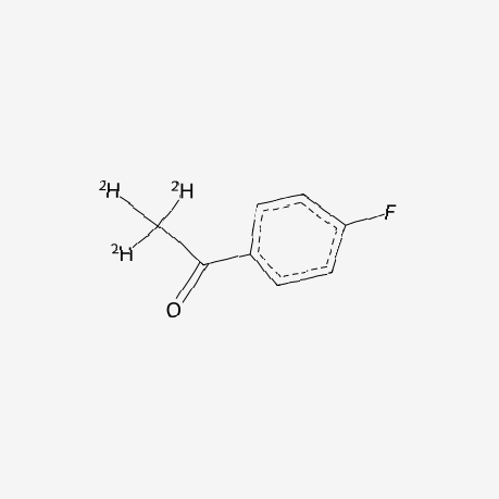 [2H]C([2H])([2H])C(=O)c1ccc(F)cc1